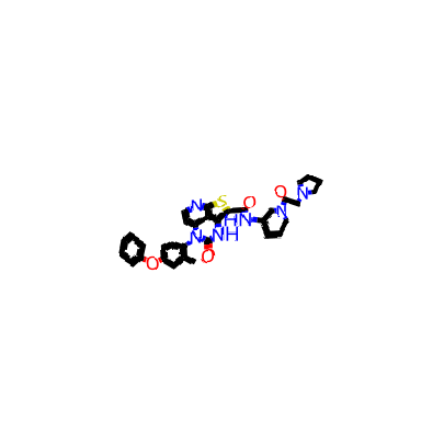 Cc1cc(Oc2ccccc2)ccc1N1C(=O)Nc2c(C(=O)NC3CCCN(C(=O)CN4CCCC4)C3)sc3nccc1c23